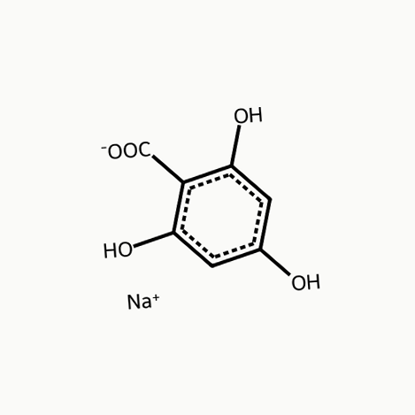 O=C([O-])c1c(O)cc(O)cc1O.[Na+]